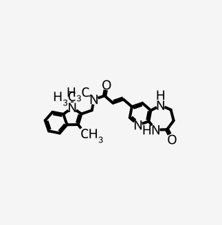 Cc1c(CN(C)C(=O)/C=C/c2cnc3c(c2)NCCC(=O)N3)n(C)c2ccccc12